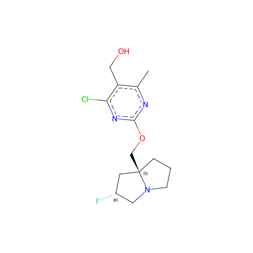 Cc1nc(OC[C@@]23CCCN2C[C@H](F)C3)nc(Cl)c1CO